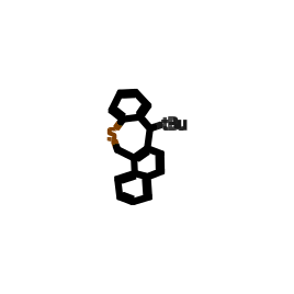 CC(C)(C)C1c2ccccc2SCc2c1ccc1ccccc21